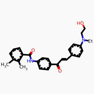 CCN(CCO)c1ccc(/C=C/C(=O)c2ccc(NC(=O)c3cccc(C)c3C)cc2)cc1